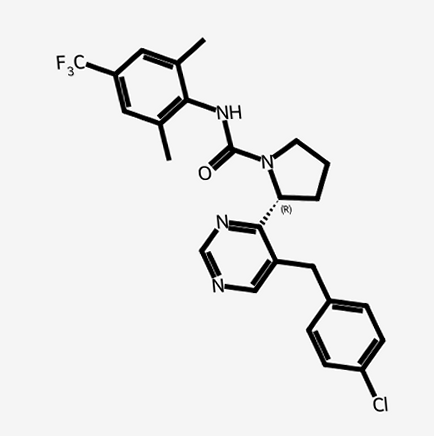 Cc1cc(C(F)(F)F)cc(C)c1NC(=O)N1CCC[C@@H]1c1ncncc1Cc1ccc(Cl)cc1